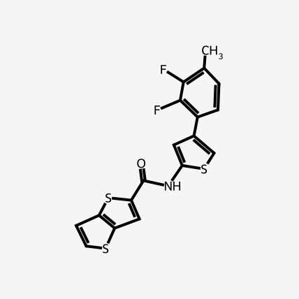 Cc1ccc(-c2csc(NC(=O)c3cc4sccc4s3)c2)c(F)c1F